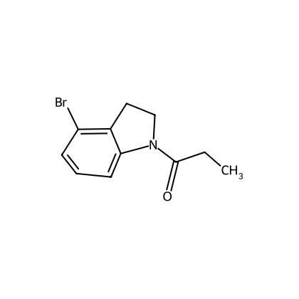 CCC(=O)N1CCc2c(Br)cccc21